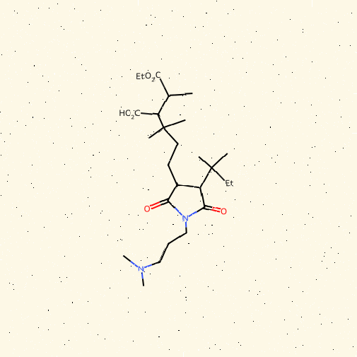 CCOC(=O)C(C)C(C(=O)O)C(C)(C)CCC1C(=O)N(CCCN(C)C)C(=O)C1C(C)(C)CC